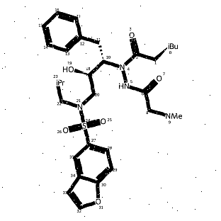 CC[C@H](C)CC(=O)N(NC(=O)CNC)[C@@H](Cc1ccccc1)[C@H](O)CN(CC(C)C)S(=O)(=O)c1ccc2occc2c1